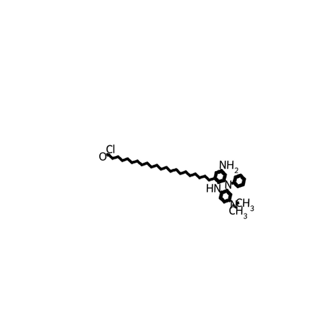 CN(C)c1ccc2c(c1)N(c1ccccc1)c1cc(N)cc(CCCCCCCCCCCCCCCCCCCCCC(=O)Cl)c1N2